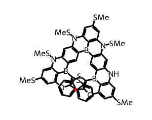 CSc1cc2c3c(c1)Oc1c(sc4ccccc14)B3c1cc3c(cc1N2)N(SC)c1cc(SC)cc2c1B3c1cc3c(cc1N2SC)N(SC)c1cc(SC)cc2c1B3c1sc3ccccc3c1O2